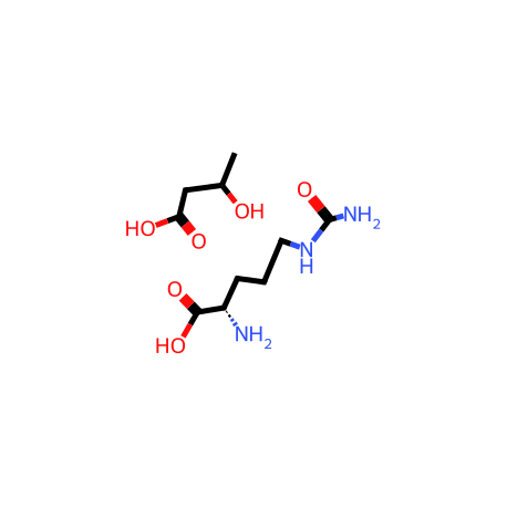 CC(O)CC(=O)O.NC(=O)NCCC[C@H](N)C(=O)O